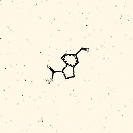 NC(=O)[C@@H]1[CH]Cc2cc(C=O)ccc21